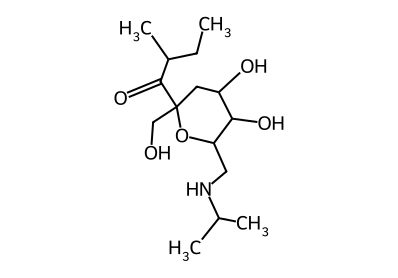 CCC(C)C(=O)C1(CO)CC(O)C(O)C(CNC(C)C)O1